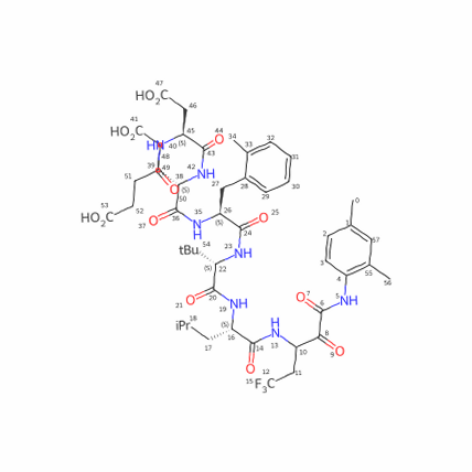 Cc1ccc(NC(=O)C(=O)C(CC(F)(F)F)NC(=O)[C@H](CC(C)C)NC(=O)[C@@H](NC(=O)[C@H](Cc2ccccc2C)NC(=O)[C@H](CCC(=O)O)NC(=O)[C@H](CC(=O)O)NC(=O)CCC(=O)O)C(C)(C)C)c(C)c1